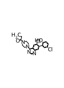 C=CC(=O)N1CCN(c2ncnc3cc(-c4cc(Cl)ccc4O)c(Cl)cc23)CC1